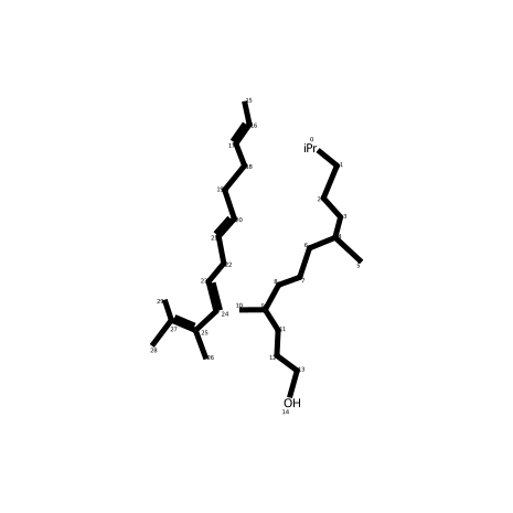 CC(C)CCCC(C)CCCC(C)CCCO.CC=CCCC=CCC=CC(C)=C(C)C